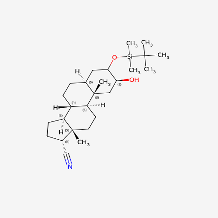 CC(C)(C)[Si](C)(C)OC1C[C@@H]2CC[C@@H]3[C@H](CC[C@]4(C)[C@H](C#N)CC[C@@H]34)[C@@]2(C)C[C@@H]1O